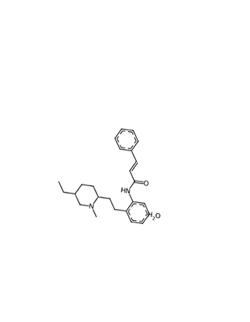 CCC1CCC(CCc2ccccc2NC(=O)C=Cc2ccccc2)N(C)C1.O